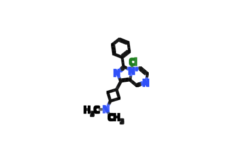 CN(C)C1CC(C2=C3C=NC=C[N+]3(Cl)C(c3ccccc3)=N2)C1